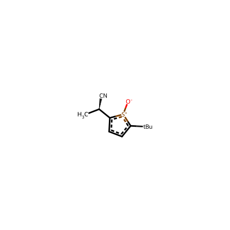 C[C@@H](C#N)c1ccc(C(C)(C)C)[s+]1[O-]